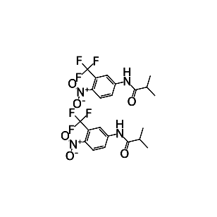 CC(C)C(=O)Nc1ccc([N+](=O)[O-])c(C(F)(F)F)c1.CC(C)C(=O)Nc1ccc([N+](=O)[O-])c(C(F)(F)F)c1